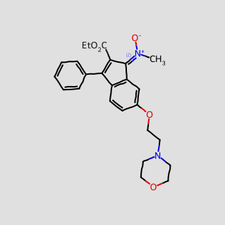 CCOC(=O)C1=C(c2ccccc2)c2ccc(OCCN3CCOCC3)cc2/C1=[N+](\C)[O-]